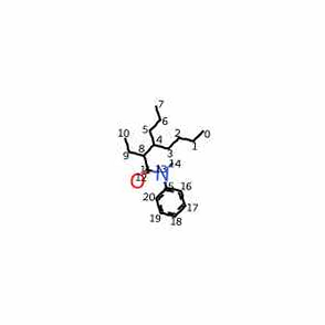 CCCCC(CCC)C(CC)C(=O)N(C)c1ccccc1